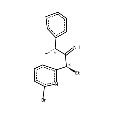 CC[C@H](C(=N)[C@H](C)c1ccccc1)c1cccc(Br)n1